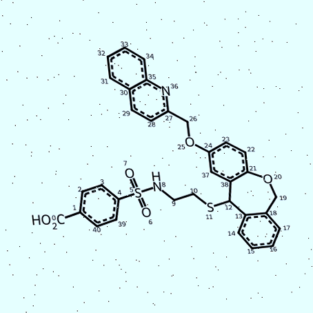 O=C(O)c1ccc(S(=O)(=O)NCCSC2c3ccccc3COc3ccc(OCc4ccc5ccccc5n4)cc32)cc1